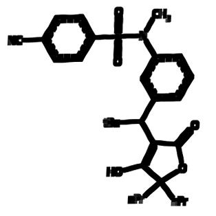 CCCC1(CCC)OC(=O)C(C(c2cccc(N(C)S(=O)(=O)c3ccc(C#N)cc3)c2)C(C)(C)C)=C1O